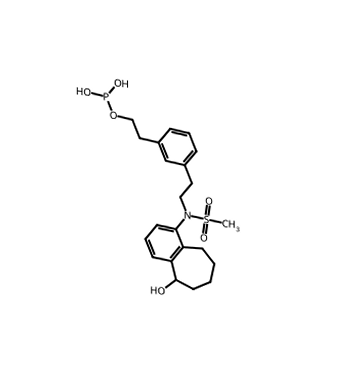 CS(=O)(=O)N(CCc1cccc(CCOP(O)O)c1)c1cccc2c1CCCCC2O